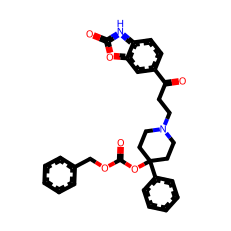 O=C(OCc1ccccc1)OC1(c2ccccc2)CCN(CCC(=O)c2ccc3[nH]c(=O)oc3c2)CC1